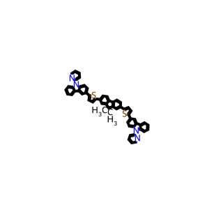 CC1(C)c2cc(-c3ccc(-c4ccc5c(c4)c4ccccc4n5-c4ccccn4)s3)ccc2-c2ccc(-c3ccc(-c4ccc5c(c4)c4ccccc4n5-c4ccccn4)s3)cc21